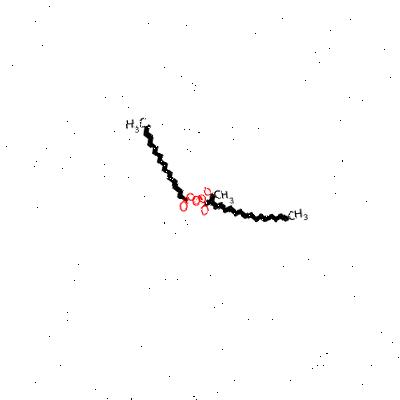 CCCCCCCCCCCCCCCCCC(=O)OOOC(=O)C(CCCCCCCCCCCCCCCC)C(C)=O